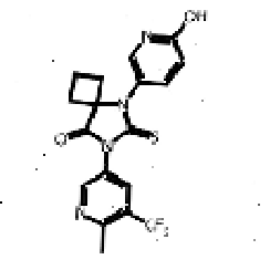 Cc1ncc(N2C(=O)C3(CCC3)N(c3ccc(O)nc3)C2=S)cc1C(F)(F)F